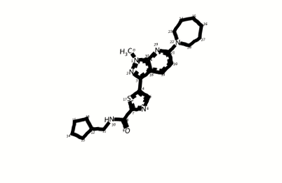 Cn1nc(-c2cnc(C(=O)NCC3CCCC3)s2)c2ccc(N3CCCCCC3)nc21